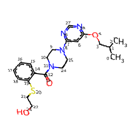 CC(C)COc1cc(N2CCN(C(=O)c3ccccc3SCCO)CC2)ncn1